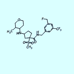 CC1COCCC1NC1CCC(C(=O)NCc2cc(CF)cc(C(F)(F)F)c2)(S(C)(=O)=O)C1